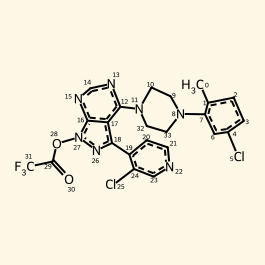 Cc1ccc(Cl)cc1N1CCN(c2ncnc3c2c(-c2ccncc2Cl)nn3OC(=O)C(F)(F)F)CC1